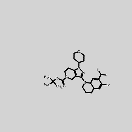 CC(C)(C)OC(=O)N1CCc2c(c(N3CCCC4C=C(Br)C(C(F)F)=CC43)nn2C2CCOCC2)C1